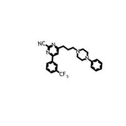 N#Cc1nc(CCCN2CCN(c3ccccc3)CC2)cc(-c2cccc(C(F)(F)F)c2)n1